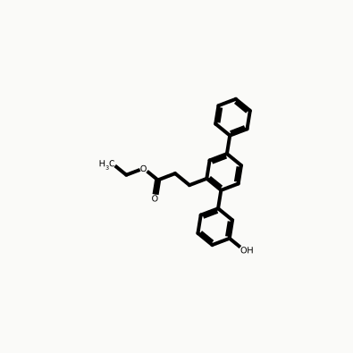 CCOC(=O)CCc1cc(-c2ccccc2)ccc1-c1cccc(O)c1